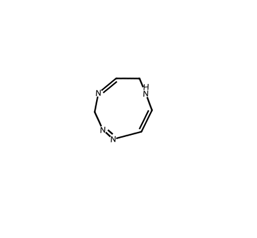 C1=C\NC/C=N\C\N=N/1